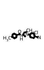 Cc1ccc(C(=O)N[C@@H]2C[C@H](C)N(c3ccc(C#N)c(Cl)c3)C2)cc1